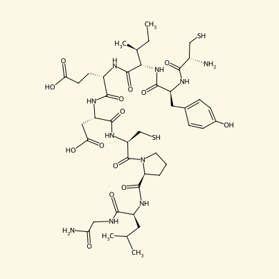 CC[C@H](C)[C@H](NC(=O)[C@H](Cc1ccc(O)cc1)NC(=O)[C@@H](N)CS)C(=O)N[C@@H](CCC(=O)O)C(=O)N[C@@H](CC(=O)O)C(=O)N[C@@H](CS)C(=O)N1CCC[C@H]1C(=O)N[C@@H](CC(C)C)C(=O)NCC(N)=O